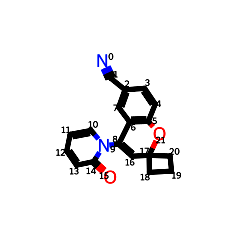 N#Cc1ccc2c(c1)C(n1ccccc1=O)=CC1(CCC1)O2